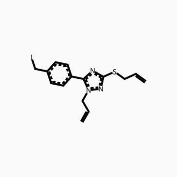 C=CCSc1nc(-c2ccc(CI)cc2)n(CC=C)n1